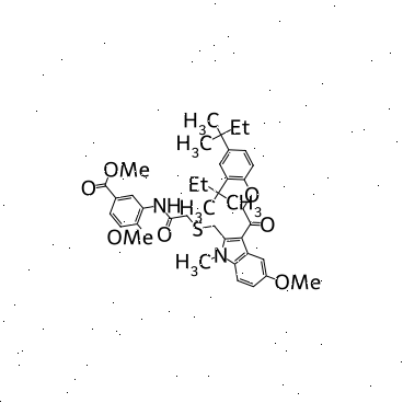 CCC(C)(C)c1ccc(OCC(=O)c2c(CSCC(=O)Nc3cc(C(=O)OC)ccc3OC)n(C)c3ccc(OC)cc23)c(C(C)(C)CC)c1